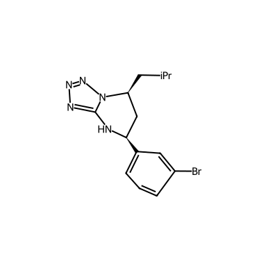 CC(C)C[C@H]1C[C@@H](c2cccc(Br)c2)Nc2nnnn21